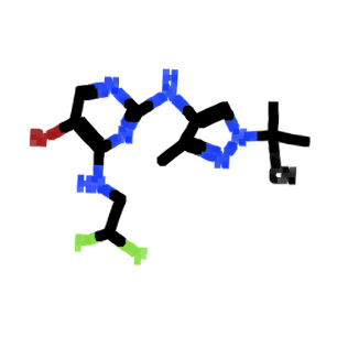 Cc1nn(C(C)(C)C#N)cc1Nc1ncc(Br)c(NCC(F)F)n1